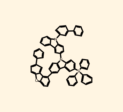 c1ccc(-c2cccc(-n3c4ccccc4c4cc(-n5c6ccc(-c7cccc8oc9ccc(-c%10ccccc%10)cc9c78)cc6c6cc([Si](c7ccccc7)(c7ccccc7)c7ccccc7)ccc65)ccc43)c2)cc1